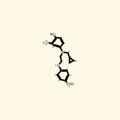 N#Cc1ccc(N(CCOc2ccc(C=O)cc2)CC2CC2)cc1C(F)(F)F